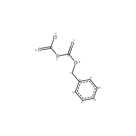 O=C(Cl)OC(=O)OCc1ccccc1